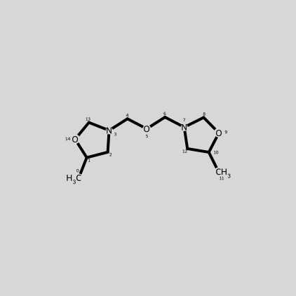 CC1CN(COCN2COC(C)C2)CO1